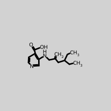 C=C(CNc1cnccc1C(=O)O)CC(CC)CC